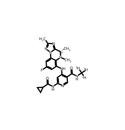 [2H]C([2H])([2H])NC(=O)c1cnc(NC(=O)C2CC2)cc1Nc1cc(F)cc2c1N(C)[C@@H](C)c1nc(C)nn1-2